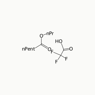 CCCCCC(=O)OCCC.O=C(O)C(F)(F)F